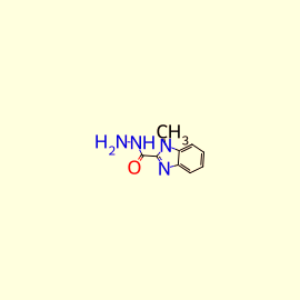 Cn1c(C(=O)NN)nc2ccccc21